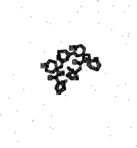 Cn1cncc1C(=O)NC1(Cc2cc(C3CC(Cc4ccccn4)(NC(=O)Cc4nccn4C)CCN3)ccn2)CCNCC1